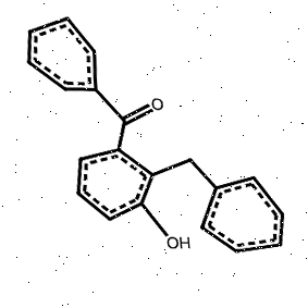 O=C(c1ccccc1)c1cccc(O)c1Cc1ccccc1